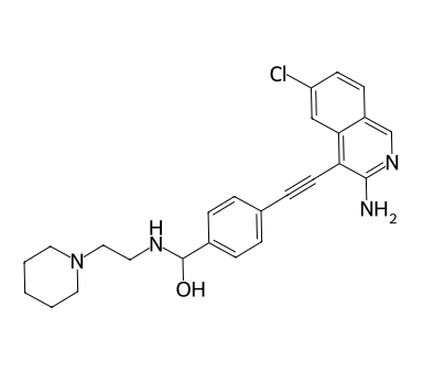 Nc1ncc2ccc(Cl)cc2c1C#Cc1ccc(C(O)NCCN2CCCCC2)cc1